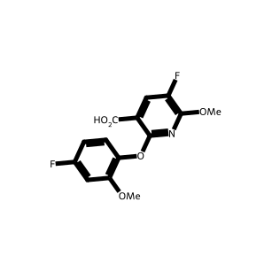 COc1cc(F)ccc1Oc1nc(OC)c(F)cc1C(=O)O